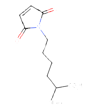 CCCCCCC(CCCCN1C(=O)C=CC1=O)C(=O)O